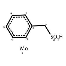 O=S(=O)(O)Cc1ccccc1.[Mo]